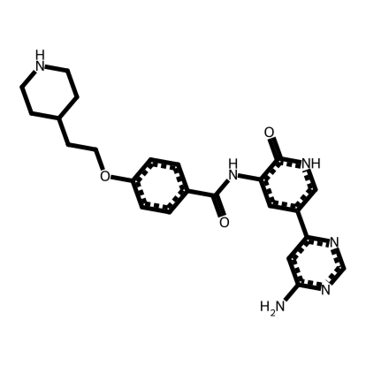 Nc1cc(-c2c[nH]c(=O)c(NC(=O)c3ccc(OCCC4CCNCC4)cc3)c2)ncn1